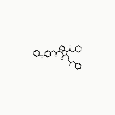 CC(CCC1C(=O)C2C(C(=O)Cc3ccc(Oc4ccccc4)cc3)C3C=CC2(O3)C1C(=O)CC1CCCCC1)Cc1ccccc1